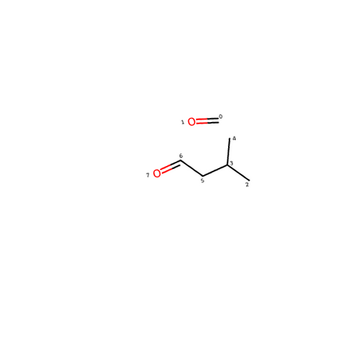 C=O.CC(C)CC=O